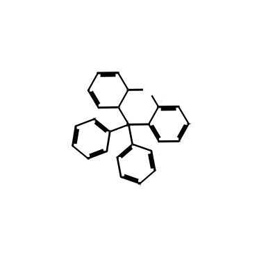 C1=CC2Oc3ccccc3C(c3ccccc3)(c3ccccc3)C2C=C1